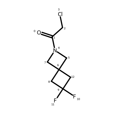 O=C(CCl)N1CC2(C1)CC(F)(F)C2